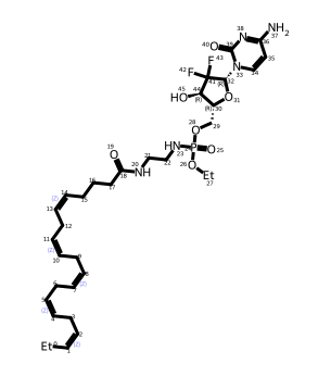 CC/C=C\C/C=C\C/C=C\C/C=C\C/C=C\CCCC(=O)NCCNP(=O)(OCC)OC[C@H]1O[C@@H](n2ccc(N)nc2=O)C(F)(F)[C@@H]1O